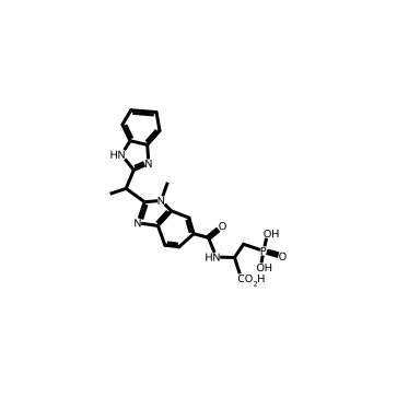 CC(c1nc2ccccc2[nH]1)c1nc2ccc(C(=O)NC(CP(=O)(O)O)C(=O)O)cc2n1C